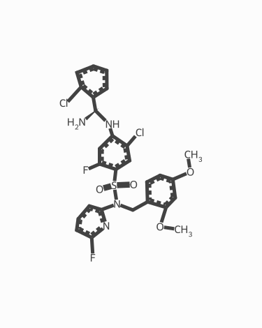 COc1ccc(CN(c2cccc(F)n2)S(=O)(=O)c2cc(Cl)c(N[C@@H](N)c3ccccc3Cl)cc2F)c(OC)c1